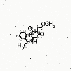 COCCn1c(=O)cc(N[C@@H](C)c2ccccc2)[nH]c1=O